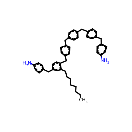 CCCCCCCCc1cc(Cc2ccc(N)cc2)ccc1Cc1ccc(Cc2ccc(Cc3ccc(Cc4ccc(N)cc4)cc3)cc2)cc1